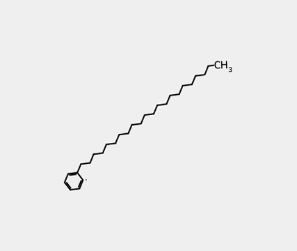 CCCCCCCCCCCCCCCCCCCCCCc1[c]cccc1